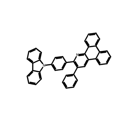 c1ccc(-c2cc3c4ccccc4c4ccccc4c3nc2-c2ccc(-n3c4ccccc4c4ccccc43)cc2)cc1